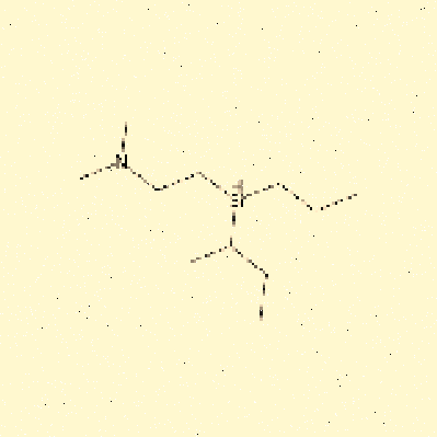 CCC[SiH](CCN(C)C)C(C)CC